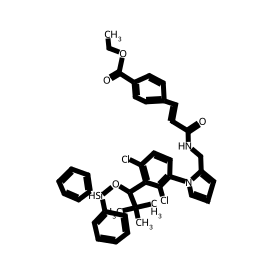 CCOC(=O)c1ccc(C=CC(=O)NCc2cccn2-c2ccc(Cl)c(C(O[SiH](c3ccccc3)c3ccccc3)C(C)(C)C)c2Cl)cc1